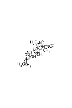 C=CC(=O)N1CCCCC1c1cc(Nc2nc(-c3ccnc(N4CCn5c(cc6c5CC(C)(C)C6)C4=O)c3CO)cn(C)c2=O)ccc1N1CCN(C2CCOCC2)C[C@@H]1C